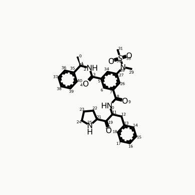 C[C@@H](NC(=O)c1cc(C(=O)NC(Cc2ccccc2)C(=O)C2CCCN2)cc(N(C)S(C)(=O)=O)c1)c1ccccc1